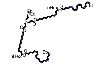 CC/C=C\C/C=C\C/C=C\C/C=C\C/C=C\CCCC(=O)OC(C/C=C\CCCCCCCCOC(=O)CCN(CCCN(CC)CC)CCC(=O)OCCCCCCCC/C=C\CC(CCCCCC)OC(=O)CCC/C=C\C/C=C\C/C=C\C/C=C\C/C=C\CC)CCCCCC